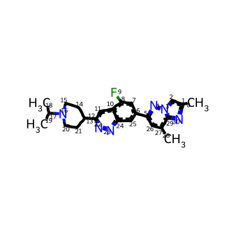 Cc1cn2nc(-c3cc(F)c4cc(C5CCN(C(C)C)CC5)nnc4c3)cc(C)c2n1